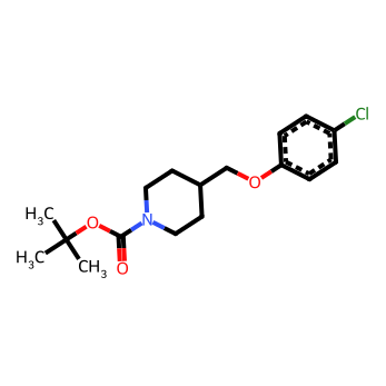 CC(C)(C)OC(=O)N1CCC(COc2ccc(Cl)cc2)CC1